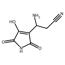 N#CCC(N)C1=C(O)C(=O)NC1=O